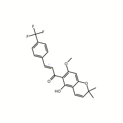 COc1cc2c(c(O)c1C(=O)/C=C/c1ccc(C(F)(F)F)cc1)C=CC(C)(C)O2